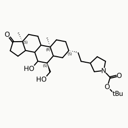 CC(C)(C)OC(=O)N1CCC(CC[C@H]2CC[C@]3(C)C4CC[C@]5(C)C(=O)CCC5C4C(O)[C@H](CO)C3C2)C1